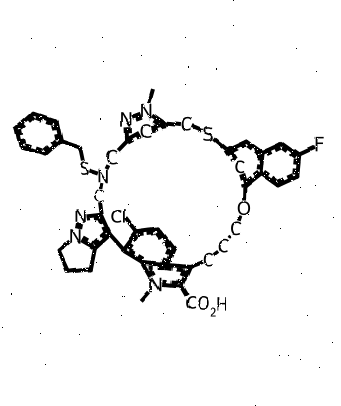 Cn1nc2cc1CSc1cc(c3ccc(F)cc3c1)OCCCc1c(C(=O)O)n(C)c3c(c(Cl)ccc13)-c1c(nn3c1CCC3)CN(SCc1ccccc1)C2